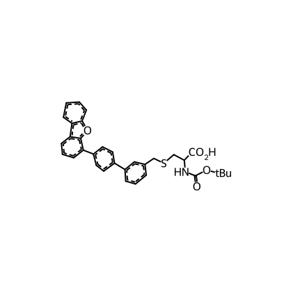 CC(C)(C)OC(=O)NC(CSCc1cccc(-c2ccc(-c3cccc4c3oc3ccccc34)cc2)c1)C(=O)O